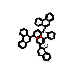 c1ccc(N(c2ccc(-c3cc4ccccc4c4ccccc34)cc2)c2cc3ccccc3c3ccccc23)c(-c2cccc3c2oc2c4ccccc4ccc32)c1